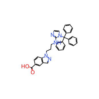 O=C(O)c1ccc2c(cnn2CCCNc2nccn2C(c2ccccc2)(c2ccccc2)c2ccccc2)c1